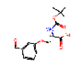 CC(C)(C)OC(=O)N[C@@H](COc1cccc(C=O)c1)C(=O)O